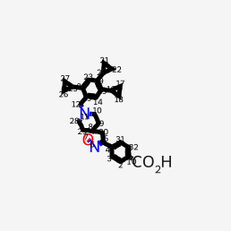 O=C(O)c1ccc(C2=NOC3(CCN(Cc4cc(C5CC5)c(C5CC5)cc4C4CC4)CC3)C2)cc1